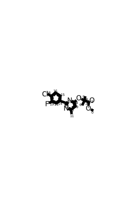 COC(=O)C(C)(C)Oc1cc(C)nc(-c2ccc(Cl)c(F)c2)n1